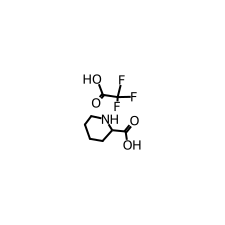 O=C(O)C(F)(F)F.O=C(O)C1CCCCN1